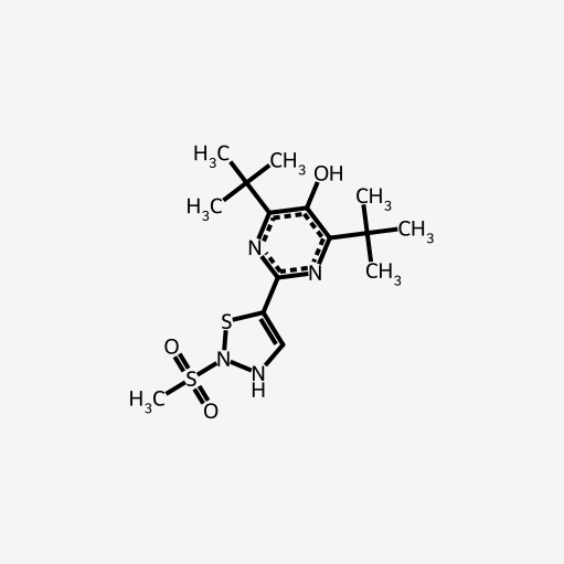 CC(C)(C)c1nc(C2=CNN(S(C)(=O)=O)S2)nc(C(C)(C)C)c1O